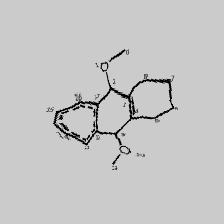 COC1C2=C(CCCC2)C(OC)c2ccccc21